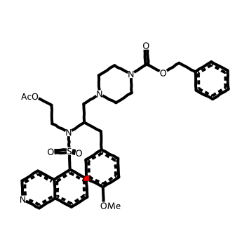 COc1ccc(CC(CN2CCN(C(=O)OCc3ccccc3)CC2)N(CCOC(C)=O)S(=O)(=O)c2cccc3cnccc23)cc1